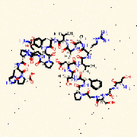 CC(C)[C@H](NC(=O)[C@H](C)NC(=O)[C@H](C)NC(=O)[C@H](CCCNC(=N)N)NC(=O)[C@@H](NC(=O)[C@H](CC(=O)O)NC(=O)[C@@H](NC(=O)[C@H](Cc1ccccc1)NC(=O)[C@@H]1CCCN1C(=O)CNC(=O)[C@H](CO)NC(=O)CNC(=O)[C@@H](N)CO)[C@@H](C)O)C(C)C)C(=O)N[C@@H](Cc1ccc(O)cc1)C(=O)N[C@@H](CCC(N)=O)C(=O)N1CCC[C@H]1C(=O)N[C@@H](CCC(N)=O)C(=O)N1CCC[C@H]1C(=O)N[C@@H](Cc1c[nH]cn1)C(=O)N1CCC[C@H]1C(=O)O